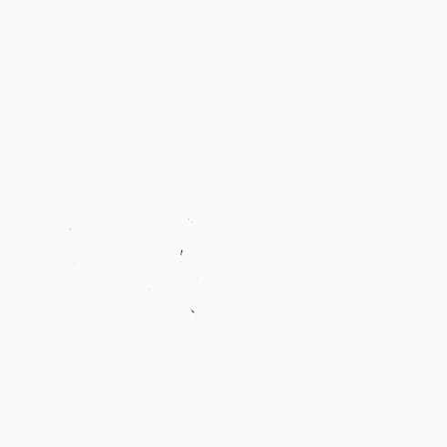 Cc1cc(C)c(C)c(OCCc2ccc(C3=C(C(=O)NCCCc4ccccc4Cl)[C@H]4CN(C(=O)CCC(C)(C)C(=O)O)C[C@@H](C3)N4)cc2)c1